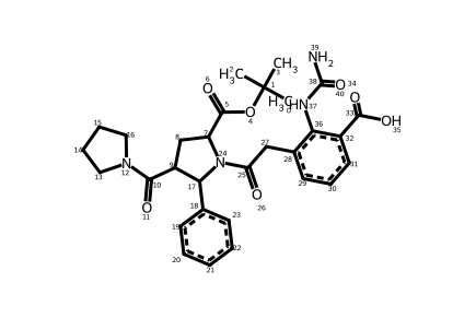 CC(C)(C)OC(=O)C1CC(C(=O)N2CCCC2)C(c2ccccc2)N1C(=O)Cc1cccc(C(=O)O)c1NC(N)=O